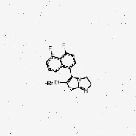 Br.CCC1=C(c2ccc(F)c3c(F)cccc23)N2CCN=C2S1